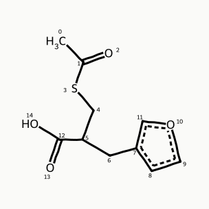 CC(=O)SCC(Cc1ccoc1)C(=O)O